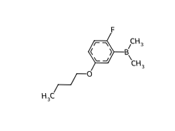 CCCCOc1ccc(F)c(B(C)C)c1